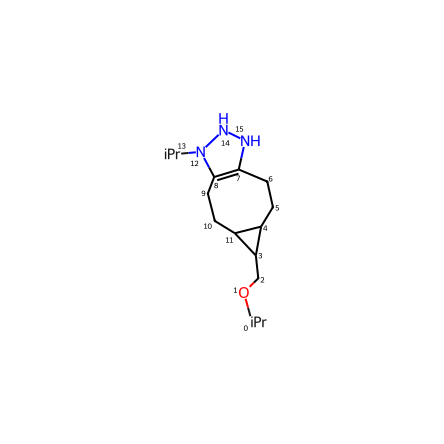 CC(C)OCC1C2CCC3=C(CCC21)N(C(C)C)NN3